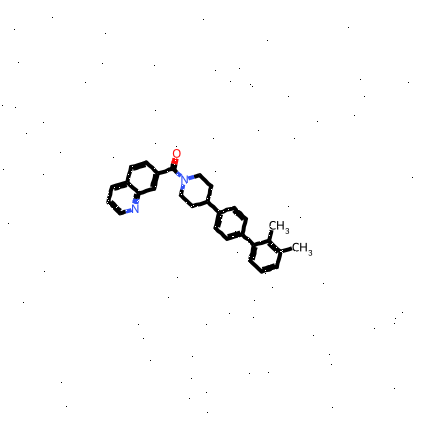 Cc1cccc(-c2ccc(C3CCN(C(=O)c4ccc5cccnc5c4)CC3)cc2)c1C